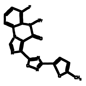 Cc1ccc(-c2noc(-c3ncn4c3c(=O)n(C(C)C)c3c(F)cccc34)n2)o1